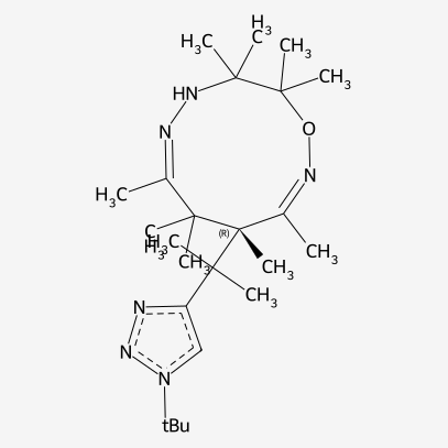 CC1=NNC(C)(C)C(C)(C)ON=C(C)[C@](C)(C(C)(C)c2cn(C(C)(C)C)nn2)C1(C)C